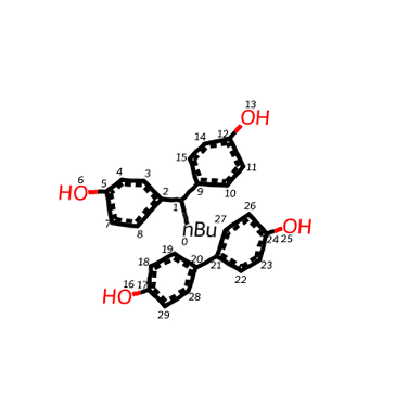 CCCCC(c1ccc(O)cc1)c1ccc(O)cc1.Oc1ccc(-c2ccc(O)cc2)cc1